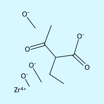 CCC(C(C)=O)C(=O)[O-].C[O-].C[O-].C[O-].[Zr+4]